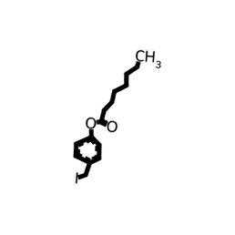 CCCCCCCC(=O)Oc1ccc(CI)cc1